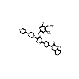 CNc1c(Cl)cc(C[C@@H](CC(=O)N2CCC(N3Cc4ccccc4NC3=O)CC2)C(=O)N2CCN(c3ccncc3)CC2)cc1C(F)(F)F